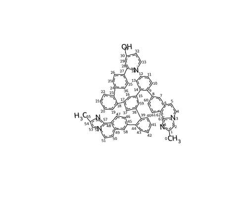 Cc1cn2ccc3cc(-c4ccccc4-c4cc(-c5ccccc5-c5ccc(-c6cc(O)ccn6)cc5)cc(-c5ccccc5-c5ccc6c(ccn7cc(C)nc67)c5)c4)ccc3c2n1